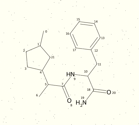 CC1CCC(C(C)C(=O)NC(Cc2ccccc2)C(N)=O)C1